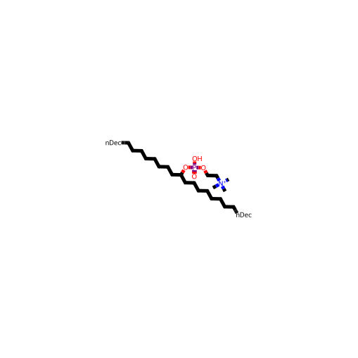 CCCCCCCCCCCCCCCCCCC(CCCCCCCCCCCCCCCCCC)OP(=O)(O)OCC[N+](C)(C)C